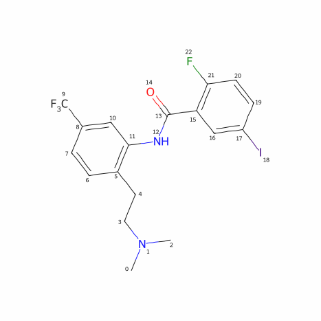 CN(C)CCc1ccc(C(F)(F)F)cc1NC(=O)c1cc(I)ccc1F